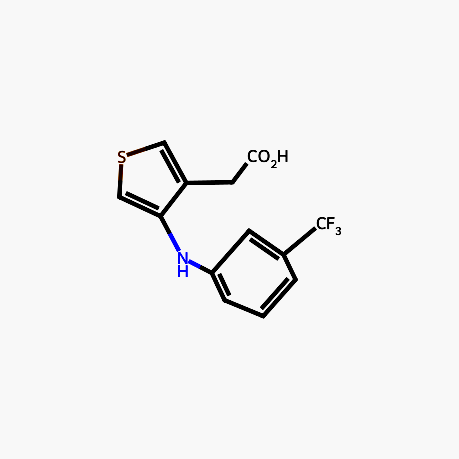 O=C(O)Cc1cscc1Nc1cccc(C(F)(F)F)c1